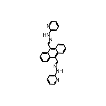 C(=NNc1ccccn1)c1c2ccccc2c(C=NNc2ccccn2)c2ccccc12